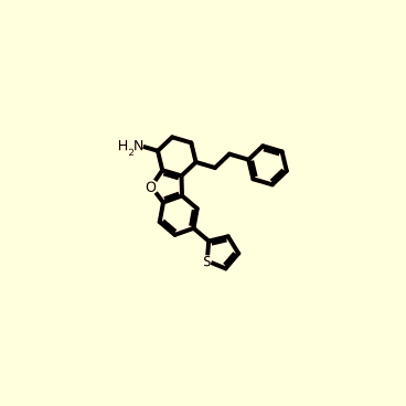 NC1CCC(CCc2ccccc2)c2c1oc1ccc(-c3cccs3)cc21